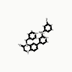 O=C1COc2ccc(-c3ccnc(Nc4cccc(F)c4)c3)cc2N1Cc1ccncc1